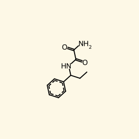 CCC(NC(=O)C(N)=O)c1ccccc1